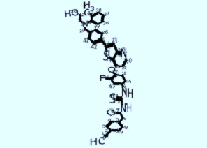 C#Cc1ccc(CC(=O)NC(=S)Nc2ccc(Oc3ccnc4cc(-c5ccc(CN(CCO)c6ccccc6C)cc5)sc34)c(F)c2)cc1